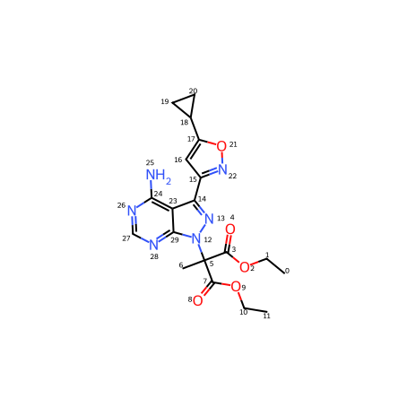 CCOC(=O)C(C)(C(=O)OCC)n1nc(-c2cc(C3CC3)on2)c2c(N)ncnc21